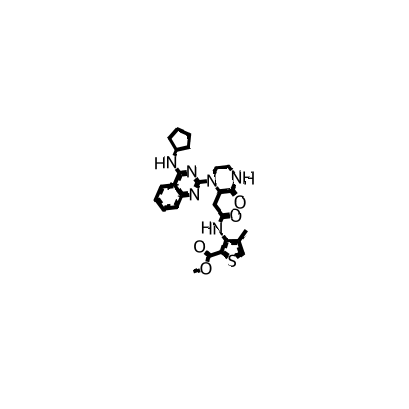 COC(=O)c1scc(C)c1NC(=O)CC1C(=O)NCCN1c1nc(NC2CCCC2)c2ccccc2n1